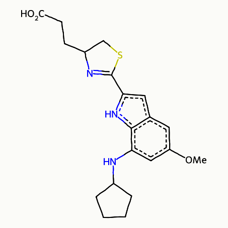 COc1cc(NC2CCCC2)c2[nH]c(C3=NC(CCC(=O)O)CS3)cc2c1